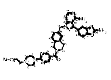 COCCN1CCN(c2ncc(C(=O)N3CCc4cc(Cn5nc(-c6ccc7oc(N)nc7c6)c6c(N)ncnc65)ccc4C3)cn2)CC1